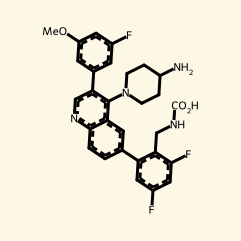 COc1cc(F)cc(-c2cnc3ccc(-c4cc(F)cc(F)c4CNC(=O)O)cc3c2N2CCC(N)CC2)c1